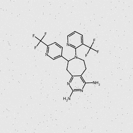 Nc1nc(N)c2c(n1)CC(c1ccc(C(F)(F)F)nc1)N(c1ncccc1C(F)(F)F)CC2